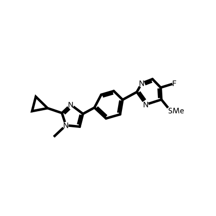 CSc1nc(-c2ccc(-c3cn(C)c(C4CC4)n3)cc2)ncc1F